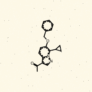 CC(=O)c1cnn2c(C3CC3)c(OCc3ccccc3)ccc12